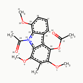 COc1c(C)c(OC)c2c(c1OC(C)=O)c1cccc(OC)c1n2C(C)=O